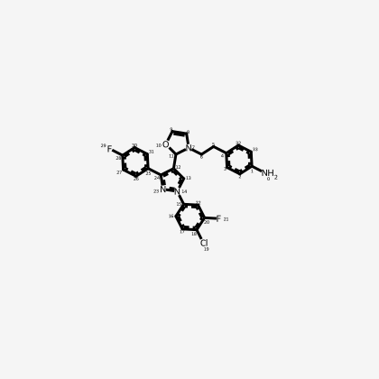 Nc1ccc(CCN2C=COC2c2cn(-c3ccc(Cl)c(F)c3)nc2-c2ccc(F)cc2)cc1